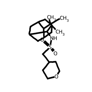 CC(C)(C)C1C2CC3CC1CC(C2)C3NS(=O)(=O)CC1CCOCC1